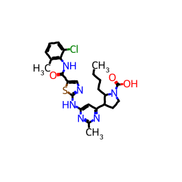 CCCCC1C(c2cc(Nc3ncc(C(=O)Nc4c(C)cccc4Cl)s3)nc(C)n2)CCN1C(=O)O